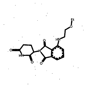 CCOCCNc1cccc2c1C(=O)N(C1CCC(=O)NC1=O)C2=O